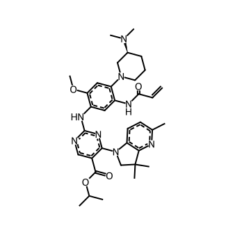 C=CC(=O)Nc1cc(Nc2ncc(C(=O)OC(C)C)c(N3CC(C)(C)c4nc(C)ccc43)n2)c(OC)cc1N1CCC[C@H](N(C)C)C1